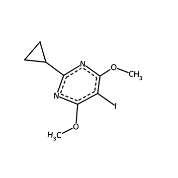 COc1nc(C2CC2)nc(OC)c1I